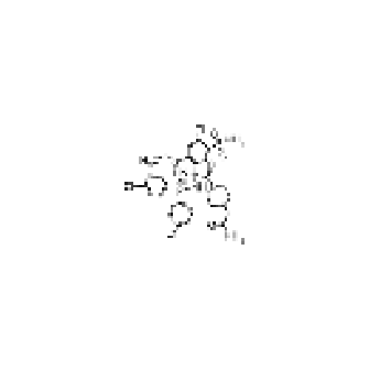 CCOc1cc(Cl)c(S(N)(=O)=O)cc1C1(C(=O)N2CCN(CC(N)=O)CC2)N[C@H](c2ccc(Cl)cc2)[C@H](c2ccc(Cl)cc2)N1